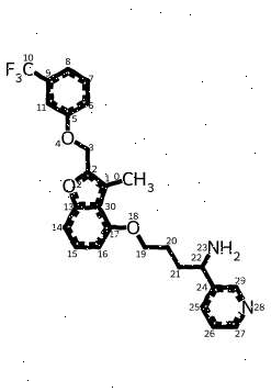 Cc1c(COc2cccc(C(F)(F)F)c2)oc2cccc(OCCCC(N)c3cccnc3)c12